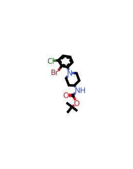 CC(C)(C)OC(=O)NC1CCN(c2cccc(Cl)c2Br)CC1